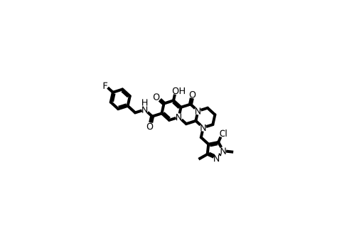 Cc1nn(C)c(Cl)c1CN1CCCN2C(=O)c3c(O)c(=O)c(C(=O)NCc4ccc(F)cc4)cn3CC12